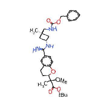 CO[C@](C)(C(=O)OC(C)(C)C)[C@H]1CCc2cc(C(=N)N[C@H]3C[C@](C)(CNC(=O)OCc4ccccc4)C3)ccc2O1